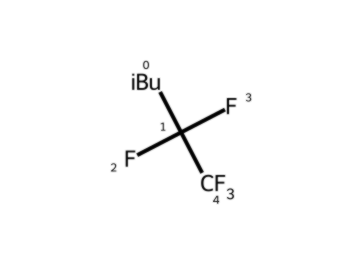 [CH2]CC(C)C(F)(F)C(F)(F)F